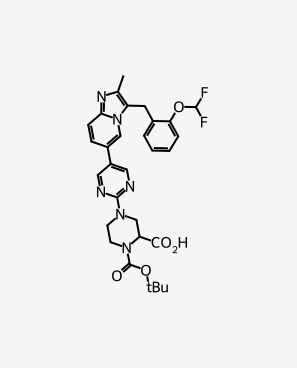 Cc1nc2ccc(-c3cnc(N4CCN(C(=O)OC(C)(C)C)C(C(=O)O)C4)nc3)cn2c1Cc1ccccc1OC(F)F